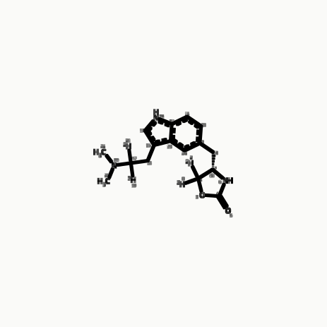 [2H]C1([2H])OC(=O)N[C@H]1Cc1ccc2[nH]cc(CC([2H])([2H])N(C)C)c2c1